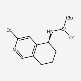 CCc1cc2c(cn1)CCC[C@@H]2N[S+]([O-])C(C)(C)C